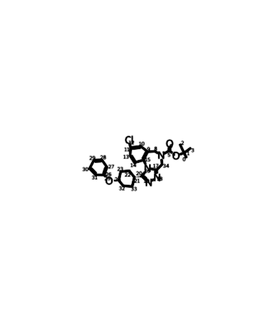 CC(C)(C)OC(=O)N1Cc2cc(Cl)ccc2-n2c(nnc2[C@H]2CC[C@@H](Oc3ccccc3)CC2)C1